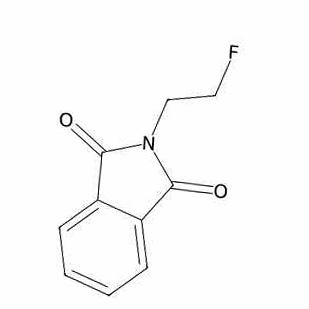 O=C1c2ccccc2C(=O)N1CCF